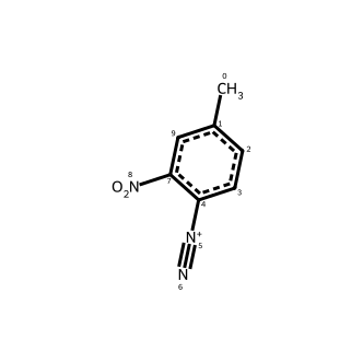 Cc1ccc([N+]#N)c([N+](=O)[O-])c1